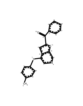 Cc1ccc(Sc2cncc3sc(C(=O)c4ccccc4)cc23)cc1